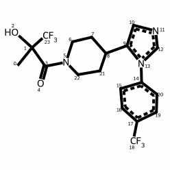 CC(O)(C(=O)N1CCC(c2cncn2-c2ccc(C(F)(F)F)cc2)CC1)C(F)(F)F